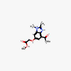 COC(=O)c1cc(OCC(=O)OC(C)(C)C)cc2c1nc(C)n2C